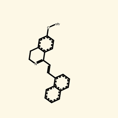 CCCOc1ccc2c(c1)CCN=C2/C=C/c1cccc2ccccc12